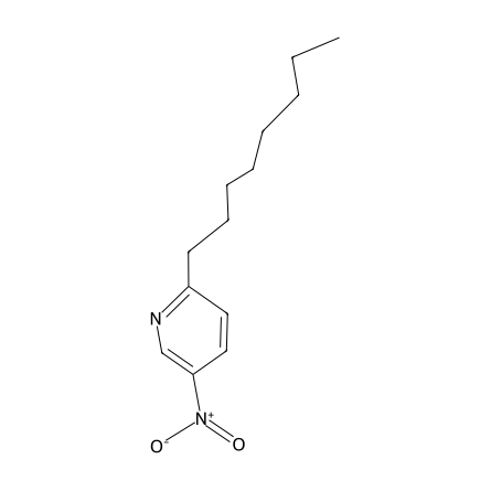 CCCCCCCCc1ccc([N+](=O)[O-])cn1